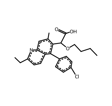 CCCCOC(C(=O)O)c1c(C)cc2nc(CC)ccc2c1-c1ccc(Cl)cc1